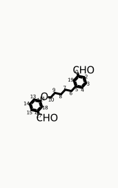 O=Cc1cccc(CCCCCOc2cccc(C=O)c2)c1